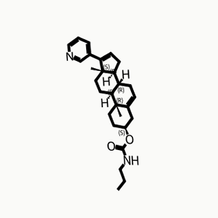 CCCNC(=O)O[C@H]1CC[C@@]2(C)C(=CC[C@@H]3[C@@H]2CC[C@]2(C)C(c4cccnc4)=CC[C@@H]32)C1